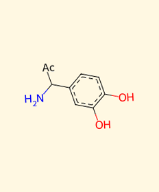 CC(=O)C(N)c1ccc(O)c(O)c1